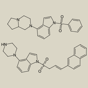 O=S(=O)(CC=Cc1ccc2ccccc2c1)n1ccc2c(N3CCNCC3)cccc21.O=S(=O)(c1ccccc1)n1ccc2c(N3CCN4CCCC4C3)cccc21